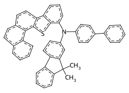 CC1(C)c2ccccc2-c2ccc(N(c3ccc(-c4ccccc4)cc3)c3cccc4c3sc3c4ccc4ccc5ccccc5c43)cc21